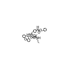 CCCCNC(=O)C(C)CC(O)[C@H](Cc1ccc(NC(=O)OCc2ccccc2)cc1)NC(=O)C1=Cc2ccccc2Oc2ccccc21